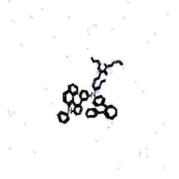 C=C(/C(=C\C=C/CC)C/C=C\C(=C/CC)N(c1ccc(C2=CCC=CC=C2c2ccccc2)cc1)c1cccc(-c2cccc3c2c2c4ccccc4ccc2n3-c2ccccc2)c1)/C(C)=C/C=C\C